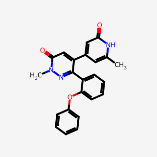 Cc1cc(-c2cc(=O)n(C)nc2-c2ccccc2Oc2ccccc2)cc(=O)[nH]1